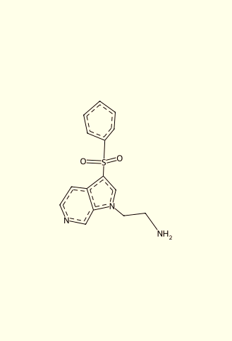 NCCn1cc(S(=O)(=O)c2ccccc2)c2ccncc21